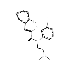 CC(=O)C(=Cc1ccccc1N)C(=O)N(CCN(C)C)c1cccc(F)c1